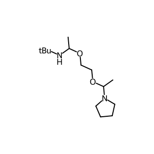 CC(NC(C)(C)C)OCCOC(C)N1CCCC1